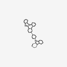 C1=Cc2c(c3ccccc3n2-c2ccc(-c3ccc4c(c3)c3ccccc3n3c5ccccc5nc43)cc2)CC1